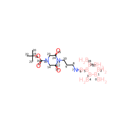 BB(B)B(B)B(/B=N/CCCN1C(=O)CN(C(=O)OC(C)(C)C)CC1=O)B(B)B